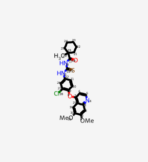 COc1cc2nccc(Oc3ccc(NC(=S)NC(=O)C4(C)CCCCC4)cc3Cl)c2cc1OC